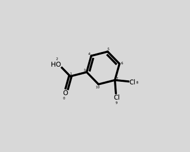 O=C(O)C1=CC=CC(Cl)(Cl)C1